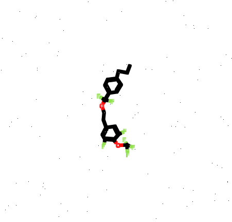 CCCc1ccc(C(F)(F)OCCc2cc(F)c(OC(F)(F)F)c(F)c2)cc1